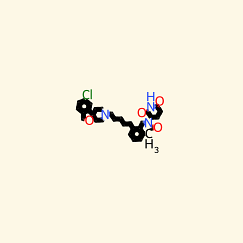 Cc1cccc(CCCCCN2CCC3(CC2)OCc2ccc(Cl)cc23)c1CN(C=O)C1CCC(=O)NC1=O